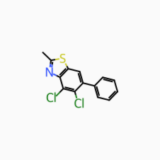 Cc1nc2c(Cl)c(Cl)c(-c3ccccc3)cc2s1